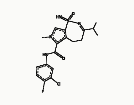 CC(C)C1=NS(=N)(=O)c2cn(C)c(C(=O)Nc3ccc(F)c(Cl)c3)c2CC1